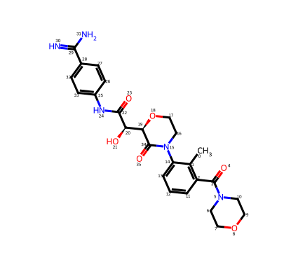 Cc1c(C(=O)N2CCOCC2)cccc1N1CCO[C@H]([C@@H](O)C(=O)Nc2ccc(C(=N)N)cc2)C1=O